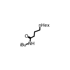 [CH2]CCCCCCCCC(=O)NC(C)CC